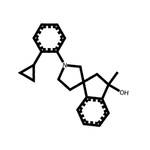 CC1(O)CC2(CCN(c3ccccc3C3CC3)C2)c2ccccc21